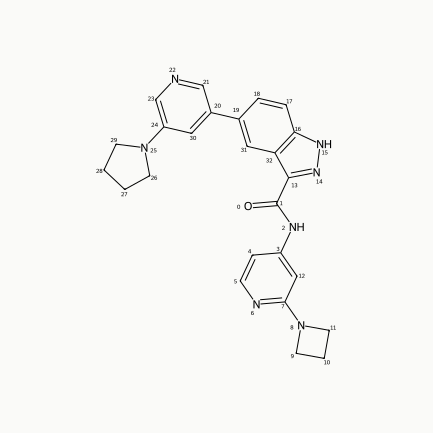 O=C(Nc1ccnc(N2CCC2)c1)c1n[nH]c2ccc(-c3cncc(N4CCCC4)c3)cc12